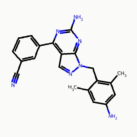 Cc1cc(N)cc(C)c1Cn1ncc2c(-c3cccc(C#N)c3)nc(N)nc21